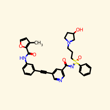 Cc1ccoc1C(=O)Nc1cccc(C#Cc2cncc(C(=O)N=S(=O)(CCCN3CCC(O)C3)c3ccccc3)c2)c1